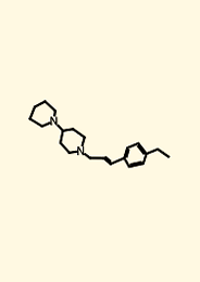 CCc1ccc(/C=C/CN2CCC(N3CCCCC3)CC2)cc1